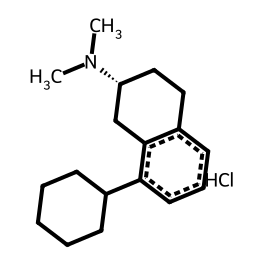 CN(C)[C@@H]1CCc2cccc(C3CCCCC3)c2C1.Cl